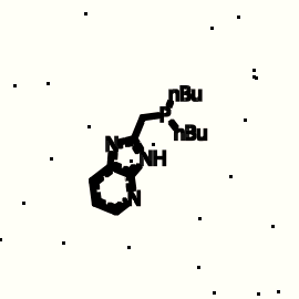 CCCCP(CCCC)Cc1nc2cccnc2[nH]1